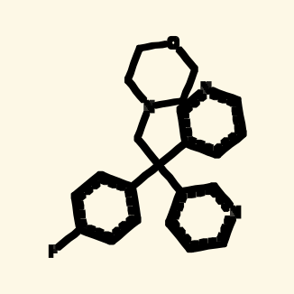 Fc1ccc(C(CN2CCOCC2)(c2cccnc2)c2cccnc2)cc1